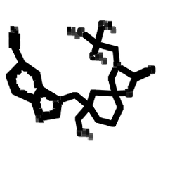 CCC1(Cn2cnc3ccc(C#N)cc32)CCCC2(CN(CC(C)(C)C)C(=O)O2)C1